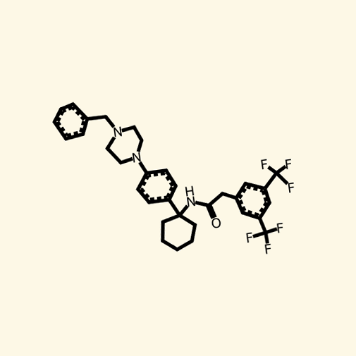 O=C(Cc1cc(C(F)(F)F)cc(C(F)(F)F)c1)NC1(c2ccc(N3CCN(Cc4ccccc4)CC3)cc2)CCCCC1